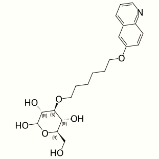 OC[C@H]1OC(O)[C@H](O)[C@@H](OCCCCCCOc2ccc3ncccc3c2)[C@@H]1O